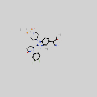 Cc1noc(C)c1-c1ccc2c(c1)nc([C@@H]1CCC(=O)N1c1ccc(F)c(F)c1)n2C1CCN(S(C)(=O)=O)CC1